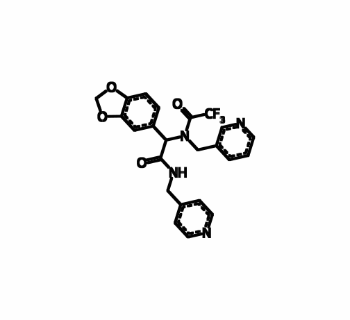 O=C(NCc1ccncc1)C(c1ccc2c(c1)OCO2)N(Cc1cccnc1)C(=O)C(F)(F)F